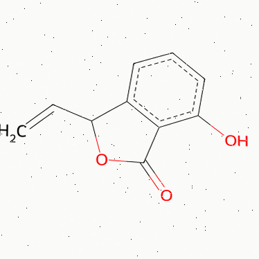 C=CC1OC(=O)c2c(O)cccc21